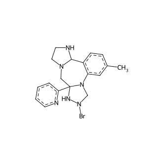 Cc1ccc2c(c1)N1CN(Br)NC1(c1ccccn1)CN1CCNC21